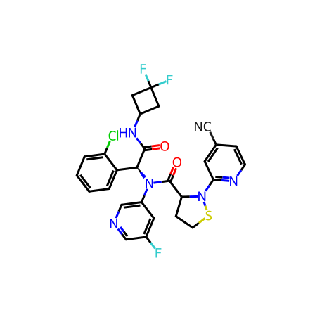 N#Cc1ccnc(N2SCCC2C(=O)N(c2cncc(F)c2)[C@H](C(=O)NC2CC(F)(F)C2)c2ccccc2Cl)c1